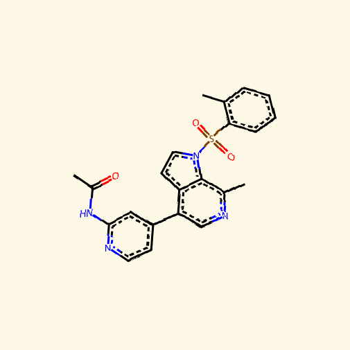 CC(=O)Nc1cc(-c2cnc(C)c3c2ccn3S(=O)(=O)c2ccccc2C)ccn1